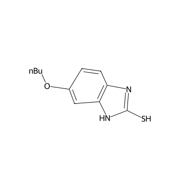 CCCCOc1ccc2nc(S)[nH]c2c1